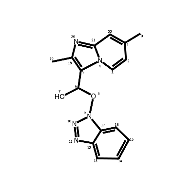 Cc1ccn2c(C(O)On3nnc4ccccc43)c(C)nc2c1